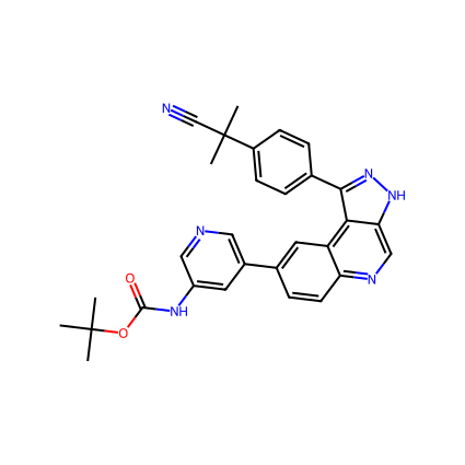 CC(C)(C)OC(=O)Nc1cncc(-c2ccc3ncc4[nH]nc(-c5ccc(C(C)(C)C#N)cc5)c4c3c2)c1